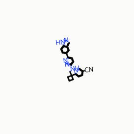 N#Cc1ccc(C2(CNc3ccc(-c4ccc5[nH]ncc5c4)nn3)CCC2)nc1